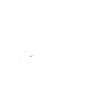 Clc1cccc(O[C@H]2CC[C@H](c3nnc4n3-c3ccc(Cl)cc3CNC4)CC2)c1